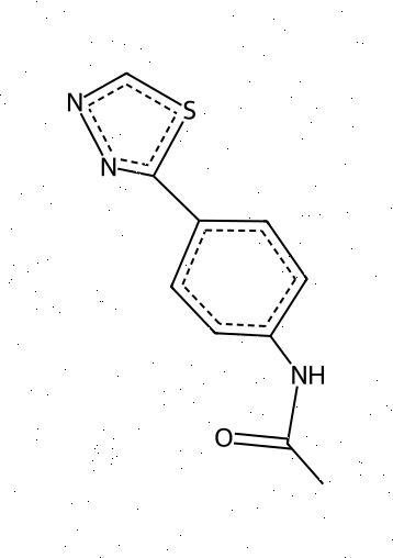 CC(=O)Nc1ccc(-c2nncs2)cc1